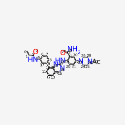 C=CC(=O)Nc1cccc(-c2cccc3cnc(Nc4ccc(N5CCN(C(C)=O)CC5)cc4C(N)=O)nc23)c1